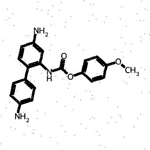 COc1ccc(OC(=O)Nc2cc(N)ccc2-c2ccc(N)cc2)cc1